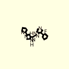 Fc1ccccc1-c1cncc2[nH]c(-c3n[nH]c4cnc(-c5ccccn5)cc34)nc12